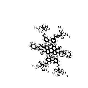 C=C(C)C(=O)NCCc1ccc(Oc2cc3c4c(cc(Oc5ccc(CCNC(=O)C(=C)C)cc5)c5c6c(Oc7ccc(CCNC(=O)C(=C)C)cc7)cc7c8c(cc(Oc9ccc(CCNC(=O)C(=C)C)cc9)c(c2c45)c86)C(=O)N(CC(=O)N2CCCCC2)C7=O)C(=O)N(CC(=O)N2CCCCC2)C3=O)cc1